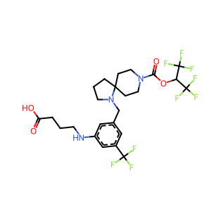 O=C(O)CCCNc1cc(CN2CCCC23CCN(C(=O)OC(C(F)(F)F)C(F)(F)F)CC3)cc(C(F)(F)F)c1